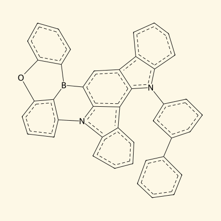 c1ccc(-c2cccc(-n3c4ccccc4c4cc5c6c(c7ccccc7n6-c6cccc7c6B5c5ccccc5O7)c43)c2)cc1